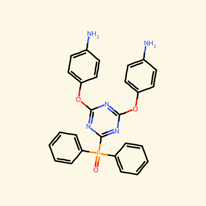 Nc1ccc(Oc2nc(Oc3ccc(N)cc3)nc(P(=O)(c3ccccc3)c3ccccc3)n2)cc1